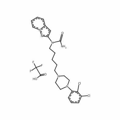 NC(=O)N(CCCCCN1CCN(c2cccc(Cl)c2Cl)CC1)c1cc2ccccn2n1.O=C(O)C(F)(F)F